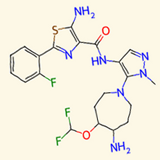 Cn1ncc(NC(=O)c2nc(-c3ccccc3F)sc2N)c1N1CCC(N)C(OC(F)F)CC1